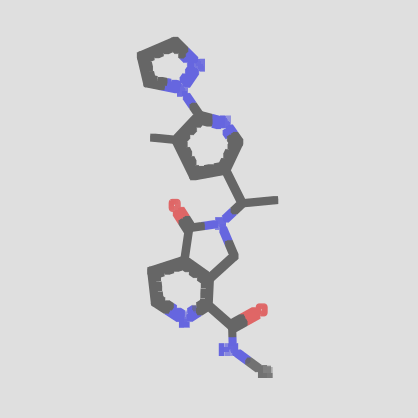 CCNC(=O)c1nccc2c1CN(C(C)c1cnc(-n3cccn3)c(C)c1)C2=O